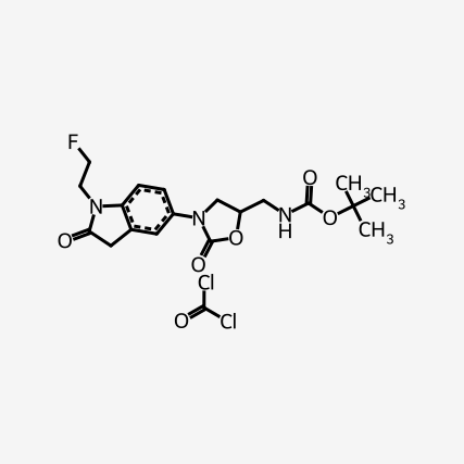 CC(C)(C)OC(=O)NCC1CN(c2ccc3c(c2)CC(=O)N3CCF)C(=O)O1.O=C(Cl)Cl